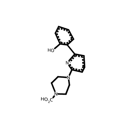 O=C(O)N1CCN(c2cccc(-c3ccccc3O)n2)CC1